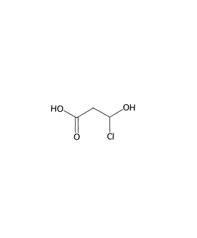 O=C(O)CC(O)Cl